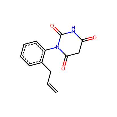 C=CCc1ccccc1N1C(=O)CC(=O)NC1=O